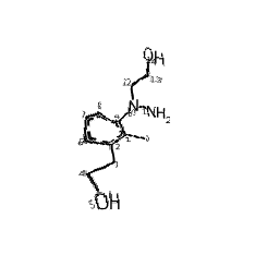 Cc1c(CCO)cccc1N(N)CCO